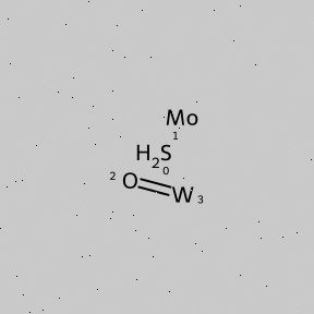 S.[Mo].[O]=[W]